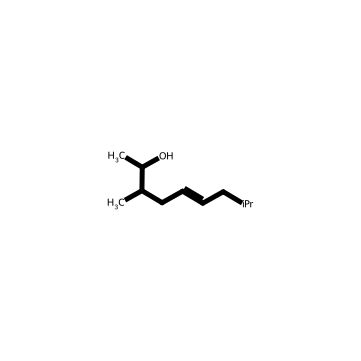 CC(C)C/C=C/CC(C)C(C)O